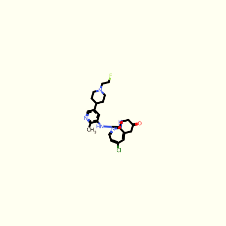 Cc1ncc(C2CCN(CCF)CC2)cc1NC1=NC=C2CC(=O)CC3=CC(Cl)=CC=NC23N1